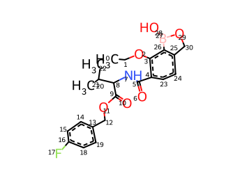 CCOc1c(C(=O)NC(C(=O)OCc2ccc(F)cc2)C(C)C)ccc2c1B(O)OC2